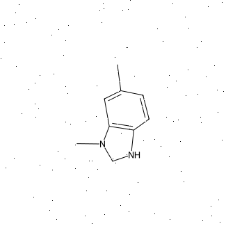 Cc1ccc2c(c1)N(C)CN2